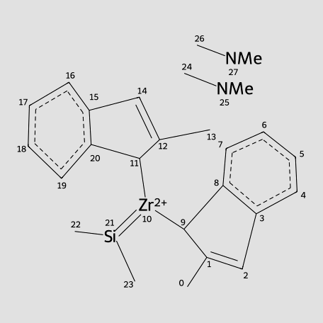 CC1=Cc2ccccc2[CH]1[Zr+2]([CH]1C(C)=Cc2ccccc21)=[Si](C)C.C[N-]C.C[N-]C